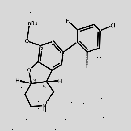 CCCCOc1cc(-c2c(F)cc(Cl)cc2F)cc2c1O[C@H]1CCNC[C@@H]21